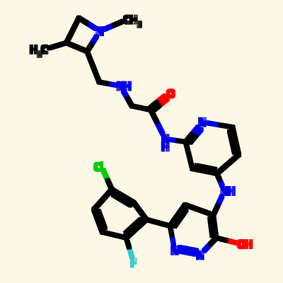 CC1CN(C)C1CNCC(=O)Nc1cc(Nc2cc(-c3cc(Cl)ccc3F)nnc2O)ccn1